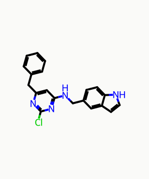 Clc1nc(Cc2ccccc2)cc(NCc2ccc3[nH]ccc3c2)n1